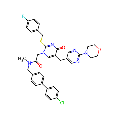 CN(Cc1ccc(-c2ccc(Cl)cc2)cc1)C(=O)Cn1cc(Cc2cnc(N3CCOCC3)nc2)c(=O)nc1SCc1ccc(F)cc1